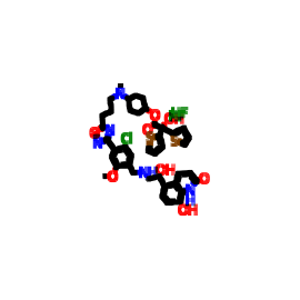 COc1cc(-c2noc(CCCN(C)C3CCC(OC(=O)C(O)(c4cccs4)c4cccs4)CC3)n2)c(Cl)cc1CNC[C@@H](O)c1ccc(O)c2[nH]c(=O)ccc12.F.F